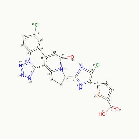 O=C(O)c1ccc(-c2[nH]c([C@@H]3CCc4cc(-c5cc(Cl)ccc5-n5cnnn5)cc(=O)n43)nc2Cl)s1